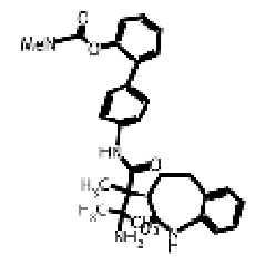 CNC(=O)Oc1ccccc1-c1ccc(NC(=O)C(C)([C@H]2CCc3ccccc3NC2=O)C(C)(C)N)cc1